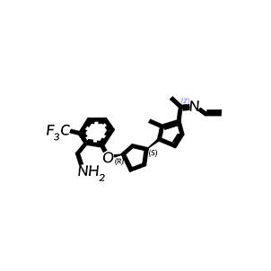 C=C/N=C(/C)C1=C(C)C([C@H]2CC[C@@H](Oc3cccc(C(F)(F)F)c3CN)C2)C=C1